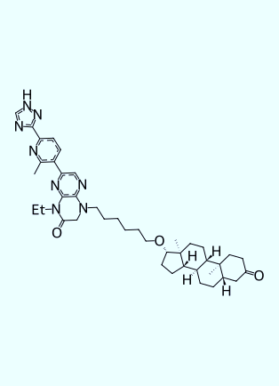 CCN1C(=O)CN(CCCCCCO[C@H]2CC[C@H]3[C@@H]4CC[C@H]5CC(=O)CC[C@]5(C)[C@H]4CC[C@]23C)c2ncc(-c3ccc(-c4nc[nH]n4)nc3C)nc21